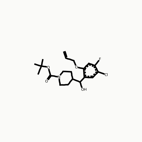 C=CCOc1cc(F)c(Cl)cc1C(O)C1CCN(C(=O)OC(C)(C)C)CC1